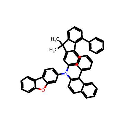 CC1(C)c2cc(N(c3ccc4c(c3)oc3ccccc34)c3ccc4ccccc4c3-c3ccccc3)ccc2-c2c(-c3ccccc3)cccc21